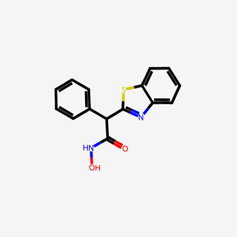 O=C(NO)C(c1ccccc1)c1nc2ccccc2s1